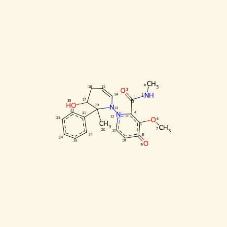 CNC(=O)c1c(OC)c(=O)ccn1N1C=CCC(O)C1(C)c1ccccc1